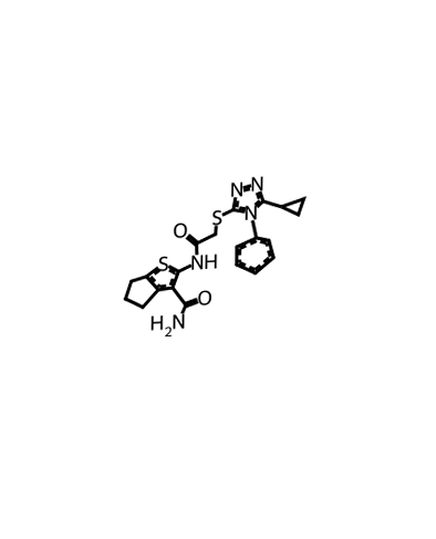 NC(=O)c1c(NC(=O)CSc2nnc(C3CC3)n2-c2ccccc2)sc2c1CCC2